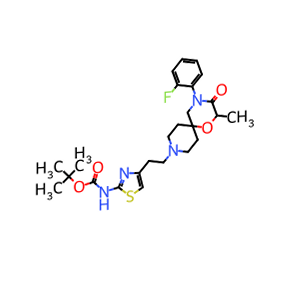 CC1OC2(CCN(CCc3csc(NC(=O)OC(C)(C)C)n3)CC2)CN(c2ccccc2F)C1=O